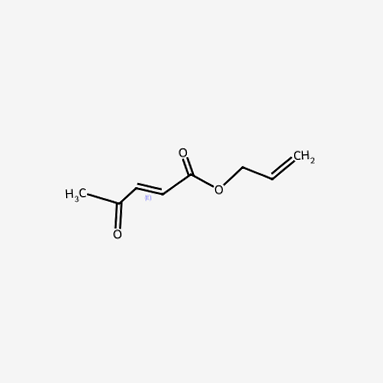 C=CCOC(=O)/C=C/C(C)=O